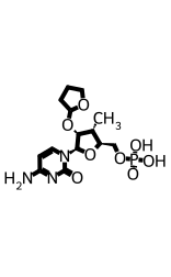 C[C@H]1[C@@H](OC2CCCO2)[C@H](n2ccc(N)nc2=O)O[C@@H]1COP(=O)(O)O